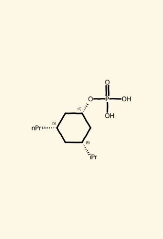 CCC[C@@H]1C[C@H](OP(=O)(O)O)C[C@H](C(C)C)C1